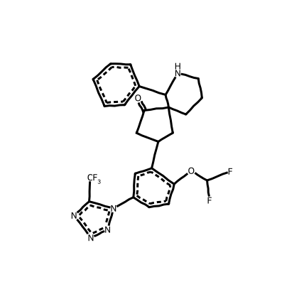 O=C1CC(c2cc(-n3nnnc3C(F)(F)F)ccc2OC(F)F)CC12CCCNC2c1ccccc1